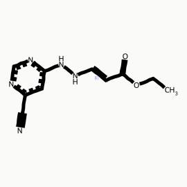 CCOC(=O)/C=C/NNc1cc(C#N)ncn1